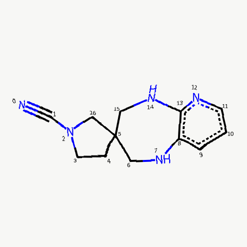 N#CN1CCC2(CNc3cccnc3NC2)C1